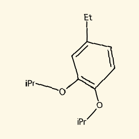 [CH2]Cc1ccc(OC(C)C)c(OC(C)C)c1